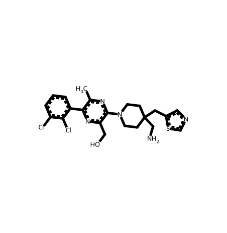 Cc1nc(N2CCC(CN)(Cc3cncs3)CC2)c(CO)nc1-c1cccc(Cl)c1Cl